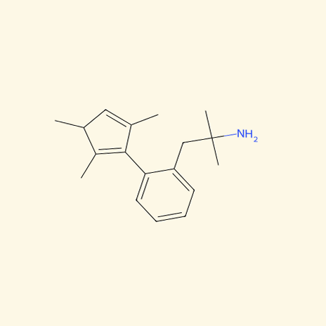 CC1=CC(C)C(C)=C1c1ccccc1CC(C)(C)N